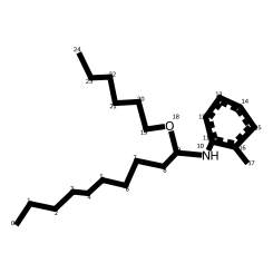 CCCCCCCCCC(Nc1ccccc1C)OCCCCCC